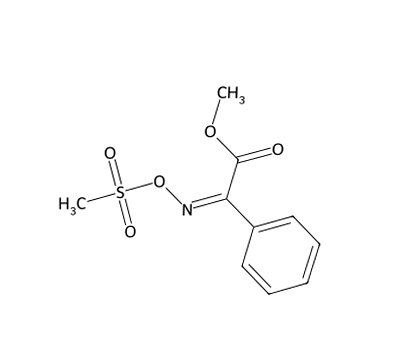 COC(=O)C(=NOS(C)(=O)=O)c1ccccc1